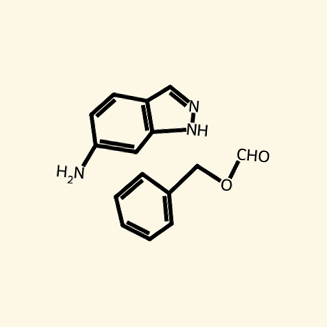 Nc1ccc2cn[nH]c2c1.O=COCc1ccccc1